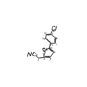 N#CCc1ccc(-c2ccc(Cl)cc2)s1